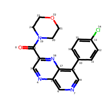 O=C(c1cnc2cncc(-c3ccc(Cl)cc3)c2n1)N1CCOCC1